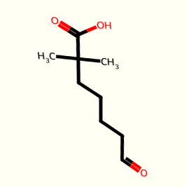 CC(C)(CCCCC=O)C(=O)O